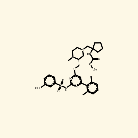 Cc1cccc(C)c1-c1cc(OC[C@H]2CN(CC3(NC(=O)OC(C)(C)C)CCCC3)CCN2C)nc(NS(=O)(=O)c2cccc(C=O)c2)n1